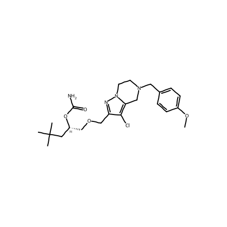 COc1ccc(CN2CCn3nc(COC[C@H](CC(C)(C)C)OC(N)=O)c(Cl)c3C2)cc1